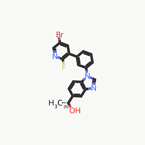 C[C@@H](O)c1ccc2c(c1)ncn2-c1cccc(-c2cc(Br)cnc2F)c1